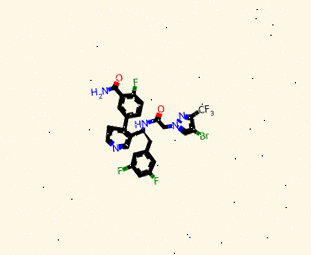 NC(=O)c1cc(-c2ccncc2[C@H](Cc2cc(F)cc(F)c2)NC(=O)Cn2cc(Br)c(C(F)(F)F)n2)ccc1F